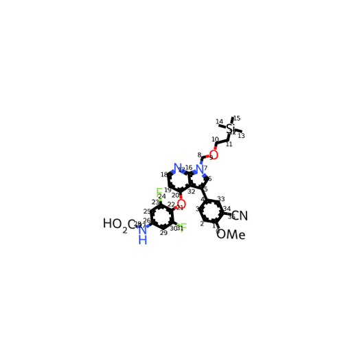 COc1ccc(-c2cn(COCC[Si](C)(C)C)c3nccc(Oc4c(F)cc(NC(=O)O)cc4F)c23)cc1C#N